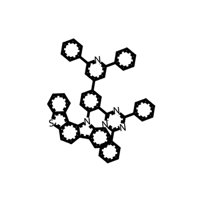 c1ccc(-c2cc(-c3ccc(-n4c5ccccc5c5ccc6sc7ccccc7c6c54)c(-c4nc(-c5ccccc5)nc(-c5ccccc5)n4)c3)cc(-c3ccccc3)n2)cc1